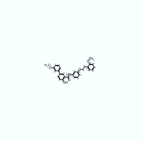 COc1cccc(-c2ccc(O)c(C(=O)Nc3cccc(OCCc4ccccc4OC)c3)c2)c1